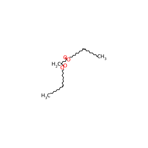 C=C(CCC(=O)OCCCCCCCC/C=C\CCCCCCCC)C(=O)OCCCCCCCC/C=C\CCCCCCCC